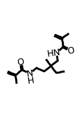 C=C(C)C(=O)NCCC(C)(CC)CNC(=O)C(=C)C